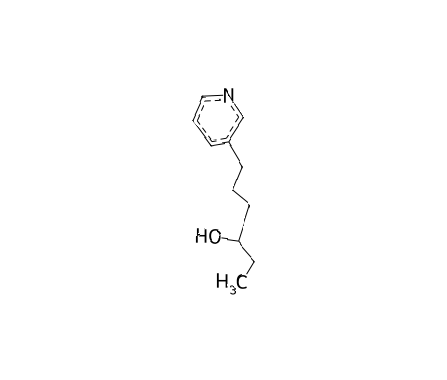 CCC(O)CCCc1cccnc1